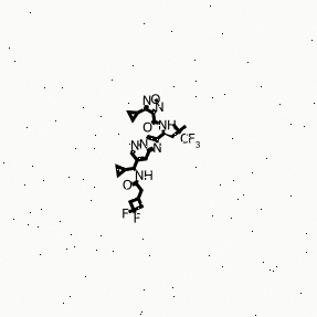 CC(C)(C[C@H](NC(=O)c1nonc1C1CC1)c1cn2ncc(C(NC(=O)CC3CC(F)(F)C3)C3CC3)cc2n1)C(F)(F)F